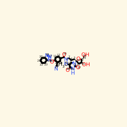 Cc1cn([C@@]2(CCCNC(=O)c3ccc(On4nnc5ccccc54)c(C#N)c3)C[C@H](O)[C@@H](CO)O2)c(=O)[nH]c1=O